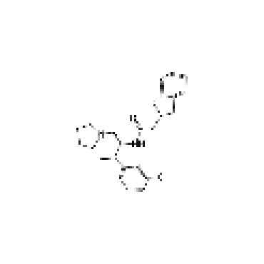 C[C@H](c1cccc(Cl)n1)[C@@H](CN1CCCC1)NC(=O)CC1Cc2ccccc2C1